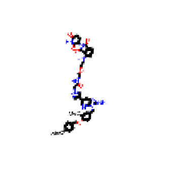 COc1ccc(COc2ccc(Cn3c(N)nc4cc(-c5cnn(CC(=O)NCCOCCNc6cccc7c6C(=O)N(C6CCC(=O)NC6=O)C7=O)c5)cnc43)cc2OC)cc1